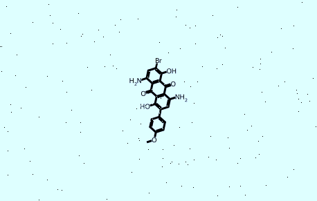 COc1ccc(-c2cc(N)c3c(c2O)C(=O)c2c(N)cc(Br)c(O)c2C3=O)cc1